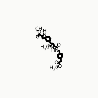 CCOC(=O)c1cc2cc(-c3cc(C(=O)NCc4ccc(CC(=O)OC)cc4)nn3C)ccc2[nH]1